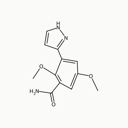 COc1cc(C(N)=O)c(OC)c(-c2cc[nH]n2)c1